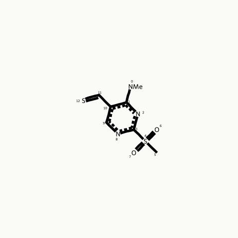 CNc1nc(S(C)(=O)=O)ncc1C=S